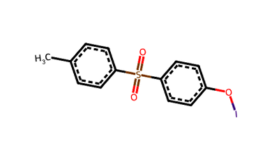 Cc1ccc(S(=O)(=O)c2ccc(OI)cc2)cc1